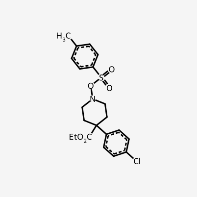 CCOC(=O)C1(c2ccc(Cl)cc2)CCN(OS(=O)(=O)c2ccc(C)cc2)CC1